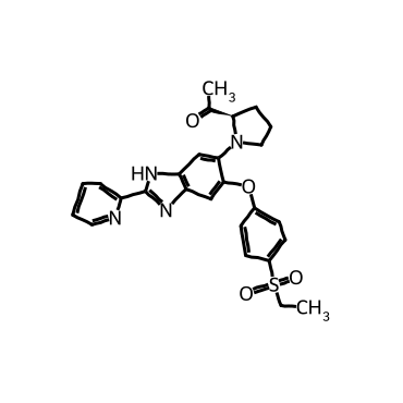 CCS(=O)(=O)c1ccc(Oc2cc3nc(-c4ccccn4)[nH]c3cc2N2CCC[C@@H]2C(C)=O)cc1